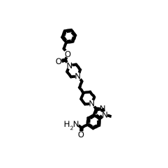 Cn1nc(N2CCC(CCN3CCN(C(=O)OCc4ccccc4)CC3)CC2)c2cc(C(N)=O)ccc21